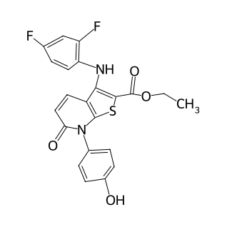 CCOC(=O)c1sc2c(ccc(=O)n2-c2ccc(O)cc2)c1Nc1ccc(F)cc1F